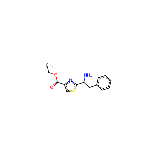 CCOC(=O)c1csc(C(N)Cc2ccccc2)n1